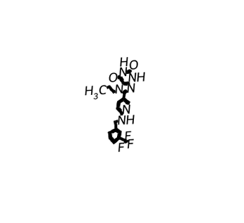 CCCn1c(-c2ccc(NCc3cccc(C(F)(F)F)c3)nc2)nc2[nH]c(=O)[nH]c(=O)c21